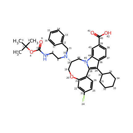 CC(C)(C)OC(=O)NCCN(Cc1ccccc1)[C@H]1COc2cc(F)ccc2-c2c(C3CCCCC3)c3ccc(C(=O)O)cc3n2C1